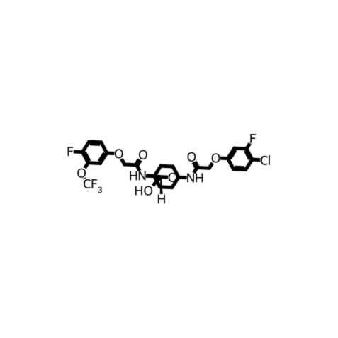 O=C(COc1ccc(Cl)c(F)c1)NC12CCC(NC(=O)COc3ccc(F)c(OC(F)(F)F)c3)(CC1)[C@@H](O)C2